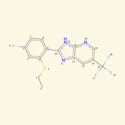 CCSc1cc(F)ccc1-c1nc2cc(C(F)(F)F)cnc2[nH]1